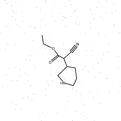 CCOC(=O)C(C#N)C1CCCNC1